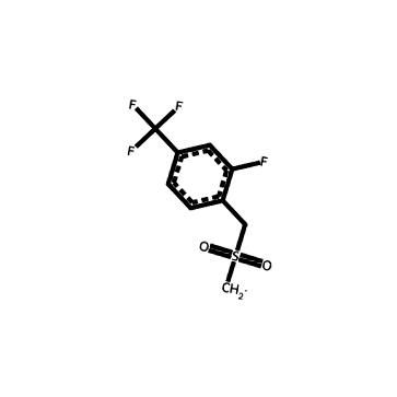 [CH2]S(=O)(=O)Cc1ccc(C(F)(F)F)cc1F